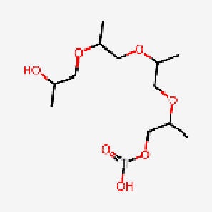 CC(O)COC(C)COC(C)COC(C)C[O][Ti](=[O])[OH]